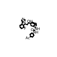 CC(=O)c1ccc(NC(=O)NN2C3CC4CC2CC(C(O)CC2c5c(F)cccc5-c5cncn52)(C4)C3)cc1